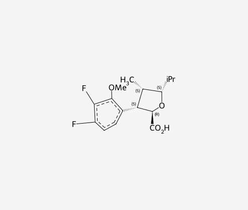 COc1c([C@@H]2[C@H](C)[C@H](C(C)C)O[C@H]2C(=O)O)ccc(F)c1F